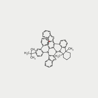 CC(C)(C)c1ccc(N2c3cc4c(sc5ccccc54)c4c3B(c3sc5ccccc5c32)N2c3c-4cccc3C3(C)CCCCC23C)c(-c2ccccc2)c1